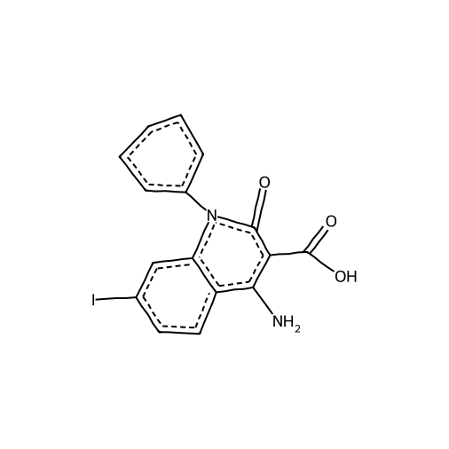 Nc1c(C(=O)O)c(=O)n(-c2ccccc2)c2cc(I)ccc12